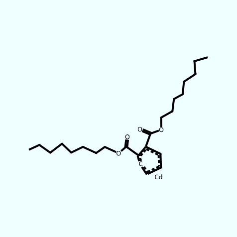 CCCCCCCCOC(=O)c1ccccc1C(=O)OCCCCCCCC.[Cd]